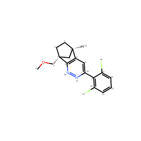 COC[C@]12CC[C@H](C1)c1cc(-c3c(F)cccc3F)nnc12